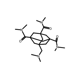 CN(C)CC12CC3(C(=O)N(C)C)CC(C(=O)N(C)C)(C1)CC(C(=O)N(C)C)(C2)C3